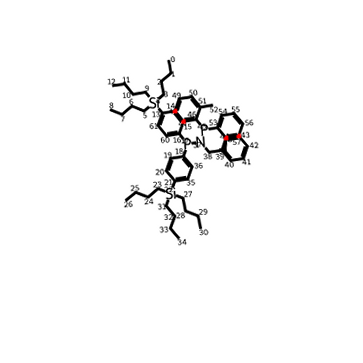 CCCC[Si](CCCC)(CCCC)c1ccc(P(c2ccc([Si](CCCC)(CCCC)CCCC)cc2)N(Cc2ccccc2)P(c2ccccc2C)c2ccccc2C)cc1